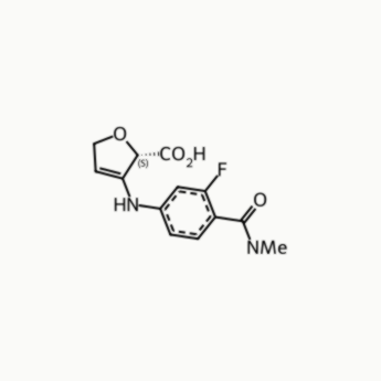 CNC(=O)c1ccc(NC2=CCO[C@@H]2C(=O)O)cc1F